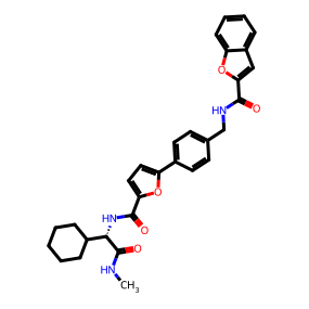 CNC(=O)[C@@H](NC(=O)c1ccc(-c2ccc(CNC(=O)c3cc4ccccc4o3)cc2)o1)C1CCCCC1